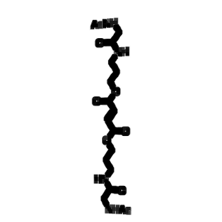 CC(=O)NCC(=O)NCCCOC(=O)/C=C/C(=O)OCCCNC(=O)CNC(C)=O